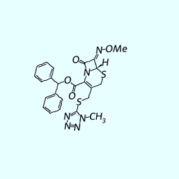 CON=C1C(=O)N2C(C(=O)OC(c3ccccc3)c3ccccc3)=C(CSc3nnnn3C)CS[C@@H]12